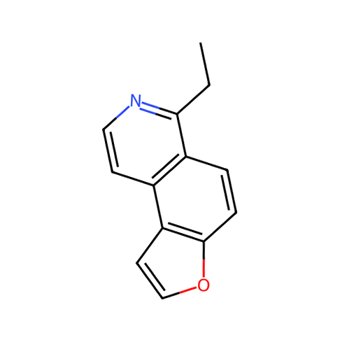 CCc1nccc2c1ccc1occc12